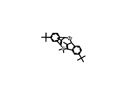 CC1=C2c3cc(C(C)(C)C)ccc3[CH]1[Zr][CH]1C(C)=C(c3cc(C(C)(C)C)ccc31)[Si]2(C)C